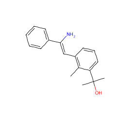 Cc1c(/C=C(\N)c2ccccc2)cccc1C(C)(C)O